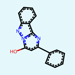 Oc1cc(-c2ccccc2)nc2c3ccccc3nn12